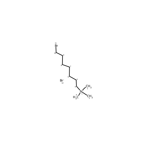 C[N+](C)(C)CCCCCCCBr.[Br-]